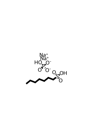 CCCCCCCS(=O)(=O)O.O=P([O-])([O-])O.[Na+].[Na+]